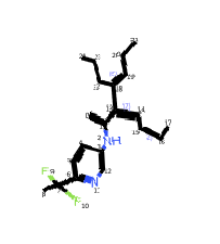 C=C(Nc1ccc(C(C)(F)F)nc1)C(=C\C=C/C)/C(=C/CC)CCC